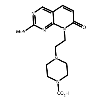 CSc1ncc2ccc(=O)n(CCN3CCN(C(=O)O)CC3)c2n1